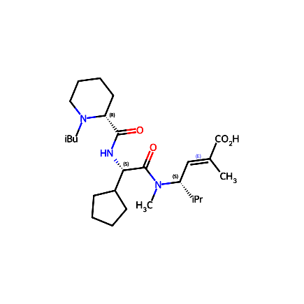 CCC(C)N1CCCC[C@@H]1C(=O)N[C@H](C(=O)N(C)[C@H](/C=C(\C)C(=O)O)C(C)C)C1CCCC1